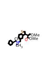 COC=C(C(=O)OC)c1csc2ccc(CN(C)C(C)c3ccccc3)cc12